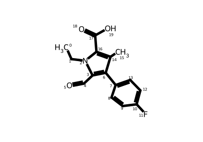 CCn1c(C=O)c(-c2ccc(F)cc2)c(C)c1C(=O)O